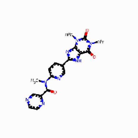 CCCn1c(=O)c2[nH]c(-c3ccc(N(C)C(=O)c4cnccn4)nc3)nc2n(CCC)c1=O